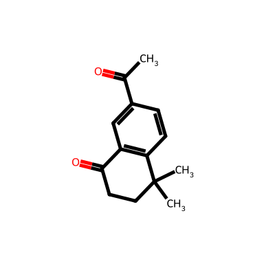 CC(=O)c1ccc2c(c1)C(=O)CCC2(C)C